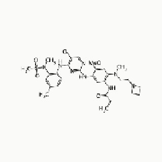 C=CC(=O)Nc1cc(Nc2ncc(Cl)c(Nc3ccc(C)cc3N(C)S(C)(=O)=O)n2)c(OC)cc1N(C)CCN1CCC1